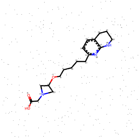 O=C(O)CN1CC(OCCCCCc2ccc3c(n2)NCCC3)C1